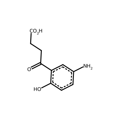 Nc1ccc(O)c(C(=O)CCC(=O)O)c1